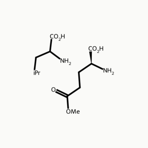 CC(C)CC(N)C(=O)O.COC(=O)CC[C@H](N)C(=O)O